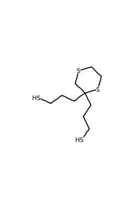 SCCCC1(CCCS)CSCCS1